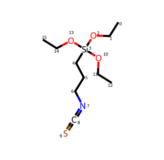 CCO[Si](CCCN=C=S)(OCC)OCC